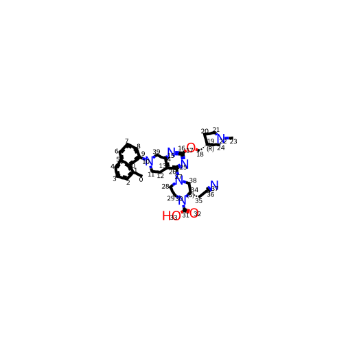 Cc1cccc2cccc(N3CCc4c(nc(OC[C@@H]5CCN(C)C5)nc4N4CCN(C(=O)O)[C@@H](CC#N)C4)C3)c12